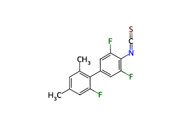 Cc1cc(C)c(-c2cc(F)c(N=C=S)c(F)c2)c(F)c1